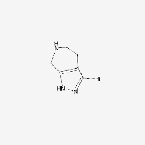 Ic1n[nH]c2c1CCNC2